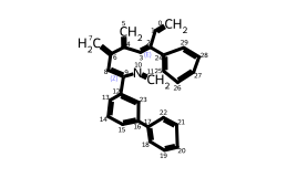 C=C/C(=C\C(=C)C(=C)/C=C(\N=C)c1cccc(-c2ccccc2)c1)c1ccccc1